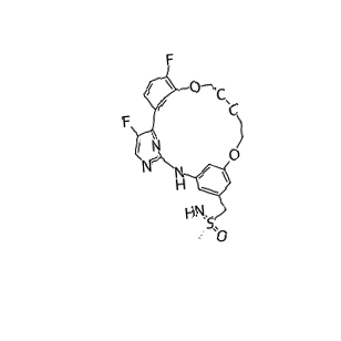 C[S@@](=N)(=O)Cc1cc2cc(c1)OCCCCCOc1cc(ccc1F)-c1nc(ncc1F)N2